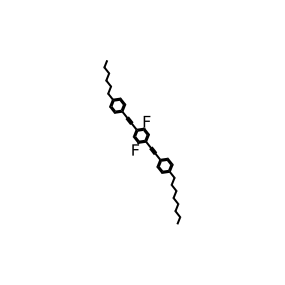 CCCCCCCCc1ccc(C#Cc2cc(F)c(C#Cc3ccc(CCCCCC)cc3)cc2F)cc1